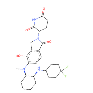 CN(c1ccc2c(c1O)CN(C1CCC(=O)NC1=O)C2=O)[C@@H]1CCCC[C@@H]1NC1CCC(F)(F)CC1